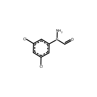 NN(C=O)c1cc(Cl)cc(Cl)c1